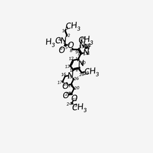 CCCN(C)C(=O)OCc1c(-c2ccc(N3CCOC(CC(=O)OCC)C3)c(CC)n2)nnn1C